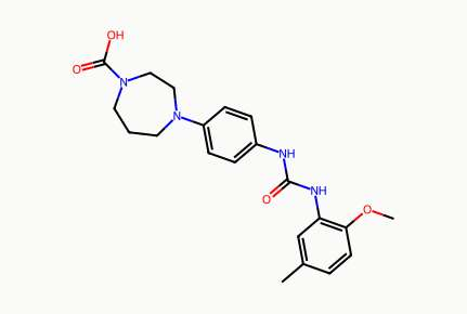 COc1ccc(C)cc1NC(=O)Nc1ccc(N2CCCN(C(=O)O)CC2)cc1